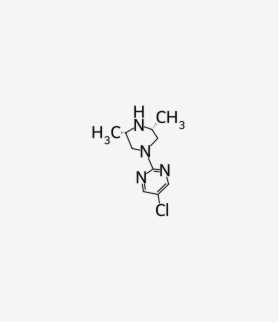 C[C@@H]1CN(c2ncc(Cl)cn2)C[C@H](C)N1